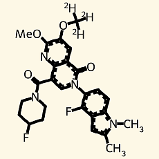 [2H]C([2H])([2H])Oc1cc2c(=O)n(-c3ccc4c(cc(C)n4C)c3F)cc(C(=O)N3CCC(F)CC3)c2nc1OC